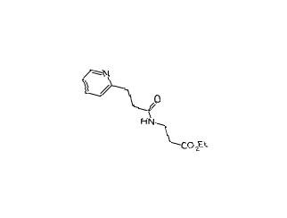 CCOC(=O)CCNC(=O)CCc1ccccn1